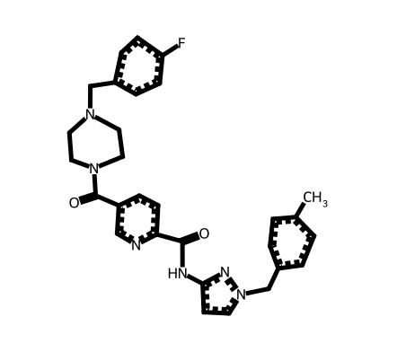 Cc1ccc(Cn2ccc(NC(=O)c3ccc(C(=O)N4CCN(Cc5ccc(F)cc5)CC4)cn3)n2)cc1